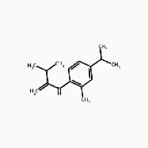 C=C(Nc1ccc(C(C)C)cc1C)C(C)C